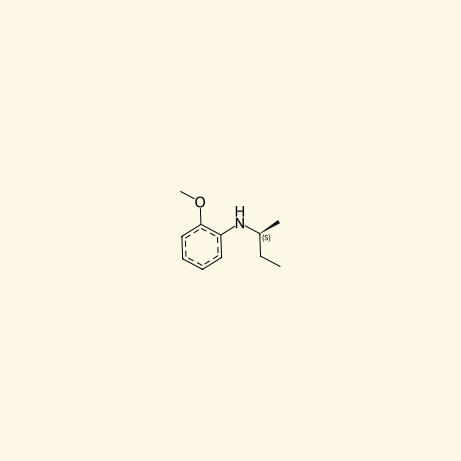 CC[C@H](C)Nc1ccccc1OC